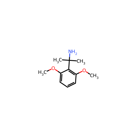 COc1cccc(OC)c1C(C)(C)N